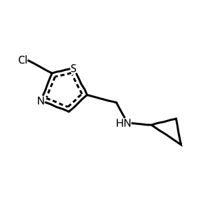 Clc1ncc(CNC2CC2)s1